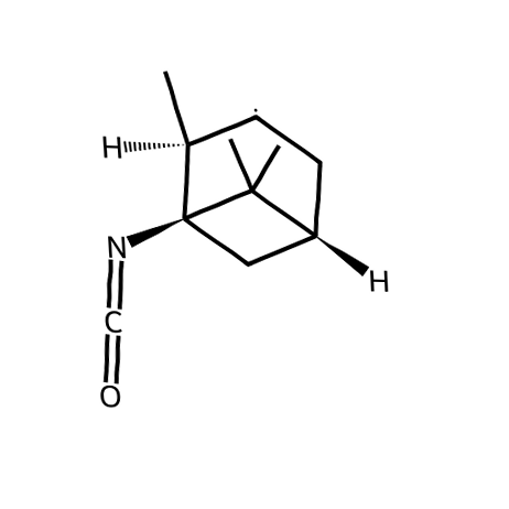 C[C@H]1[CH]C[C@@H]2C[C@@]1(N=C=O)C2(C)C